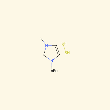 CCCCN1C=CN(C)C1.SS